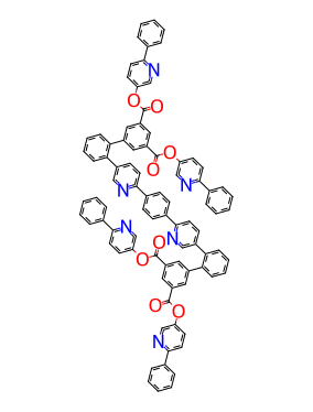 O=C(Oc1ccc(-c2ccccc2)nc1)c1cc(C(=O)Oc2ccc(-c3ccccc3)nc2)cc(-c2ccccc2-c2ccc(-c3ccc(-c4ccc(-c5ccccc5-c5cc(C(=O)Oc6ccc(-c7ccccc7)nc6)cc(C(=O)Oc6ccc(-c7ccccc7)nc6)c5)cn4)cc3)nc2)c1